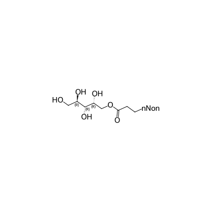 CCCCCCCCCCCC(=O)OC[C@@H](O)[C@H](O)[C@H](O)CO